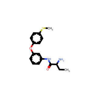 CCC(N)C(=O)Nc1cccc(Oc2ccc(SC)cc2)c1